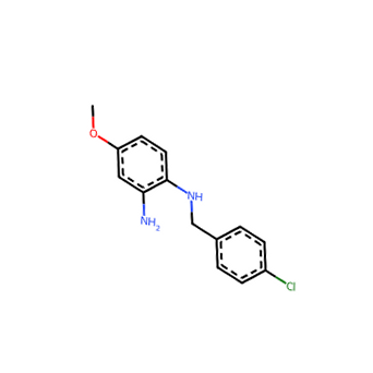 COc1ccc(NCc2ccc(Cl)cc2)c(N)c1